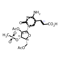 CC(=O)OC[C@H]1O[C@@H](n2cc(/C=C/C(=O)O)c(N)nc2=O)[C@H](OC(C)=O)[C@H]1OS(C)(=O)=O